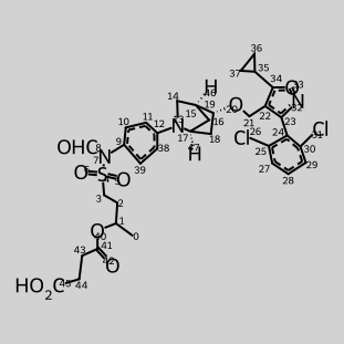 CC(CCS(=O)(=O)N(C=O)c1ccc(N2C[C@@H]3C[C@H]2C[C@H]3OCc2c(-c3c(Cl)cccc3Cl)noc2C2CC2)cc1)OC(=O)CCC(=O)O